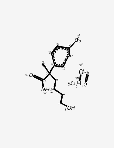 C=O.CC(CCCCO)(C(N)=O)c1ccc(C(F)(F)F)cc1.O=S(=O)(O)O